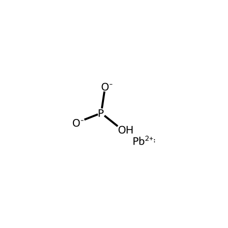 [O-]P([O-])O.[Pb+2]